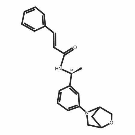 C[C@H](NC(=O)C=Cc1ccccc1)c1cccc(N2CC3CC2CO3)c1